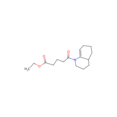 CCOC(=O)CCCC(=O)N1CCCC2CCCC=C21